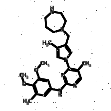 COc1cc(Nc2ncc(C)c(-n3cc(C)c(CN4CCCNCC4)c3)n2)cc(C)c1OC